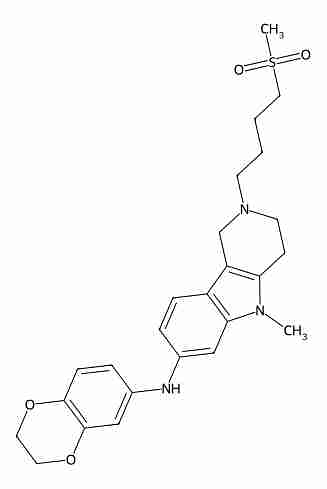 Cn1c2c(c3ccc(Nc4ccc5c(c4)OCCO5)cc31)CN(CCCCS(C)(=O)=O)CC2